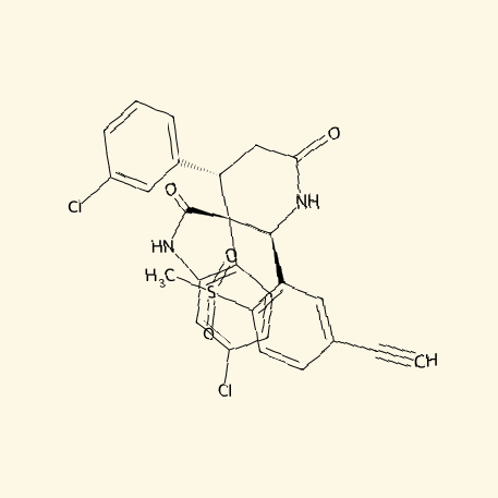 C#Cc1ccc(S(C)(=O)=O)c([C@@H]2NC(=O)C[C@@H](c3cccc(Cl)c3)[C@]23C(=O)Nc2cc(Cl)ccc23)c1